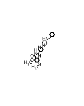 COc1cc(OC)c2c(=O)[nH]c(-c3ccc(N4CCC(NCc5ccccc5)CC4)nc3)nc2c1